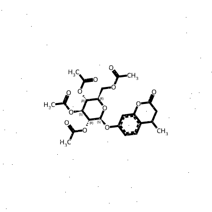 CC(=O)OC[C@H]1O[C@@H](Oc2ccc3c(c2)OC(=O)CC3C)[C@H](OC(C)=O)[C@@H](OC(C)=O)[C@@H]1OC(C)=O